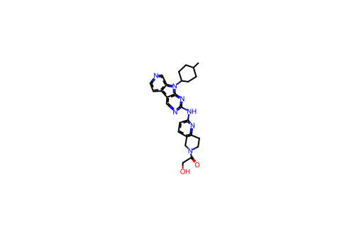 CC1CCC(n2c3cnccc3c3cnc(Nc4ccc5c(n4)CCN(C(=O)CO)C5)nc32)CC1